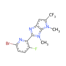 Cn1c(C(F)(F)F)cc2nc(-c3nc(Br)ccc3F)n(C)c21